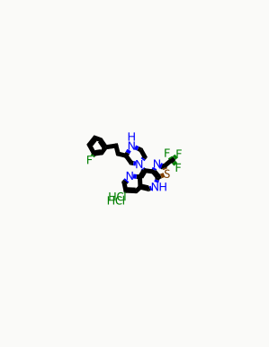 Cl.Cl.Fc1cccc(CCC2CN(C3=c4ncccc4=CNc4sc(C(F)(F)F)nc43)CCN2)c1